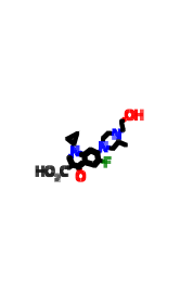 CC1CN(c2cc3c(cc2F)c(=O)c(C(=O)O)cn3C2CC2)CCN1CCO